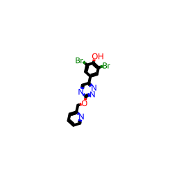 Oc1c(Br)cc(-c2cnc(OCc3ccccn3)nn2)cc1Br